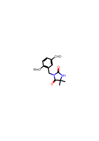 COc1ccc(C=O)cc1CN1C(=O)NC(C)(C)C1=O